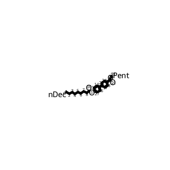 CCCCCCCCCCCCCCCCCCC(=O)Oc1ccc(-c2ccc(C(=O)OC(C)CCC)cc2)cc1